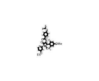 CCOc1ccnc(-n2c(=O)c(NC(=O)c3ccc(OC(F)F)cc3)c(-c3c(F)cc(OC)cc3F)n2C)c1